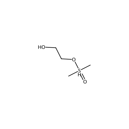 C[SH](C)(=O)OCCO